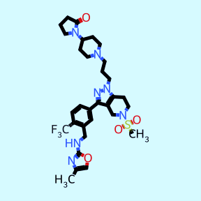 Cc1coc(NCc2cc(-c3nn(CCCN4CCC(N5CCCC5=O)CC4)c4c3CN(S(C)(=O)=O)CC4)ccc2C(F)(F)F)n1